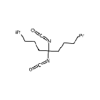 CC(C)CCCC(CCCC(C)C)(N=C=O)N=C=O